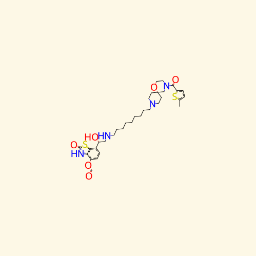 Cc1ccc(C(=O)N2CCOC3(CCN(CCCCCCCCCNCC(O)c4ccc(OC=O)c5[nH]c(=O)sc45)CC3)C2)s1